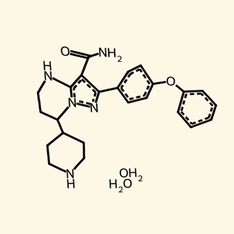 NC(=O)c1c(-c2ccc(Oc3ccccc3)cc2)nn2c1NCCC2C1CCNCC1.O.O